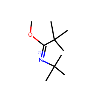 CO/C(=N/C(C)(C)C)C(C)(C)C